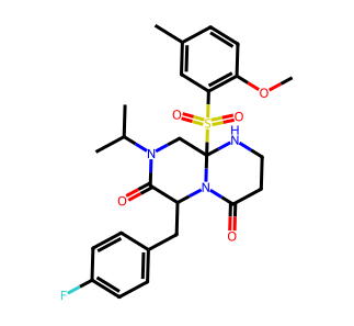 COc1ccc(C)cc1S(=O)(=O)C12CN(C(C)C)C(=O)C(Cc3ccc(F)cc3)N1C(=O)CCN2